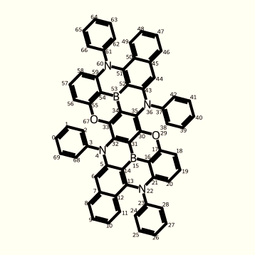 c1ccc(N2c3cc4ccccc4c4c3B3c5c(cccc5N4c4ccccc4)Oc4c3c2c2c3c4N(c4ccccc4)c4cc5ccccc5c5c4B3c3c(cccc3N5c3ccccc3)O2)cc1